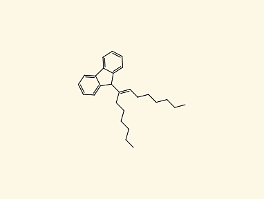 CCCCCCC=C(CCCCCC)C1c2ccccc2-c2ccccc21